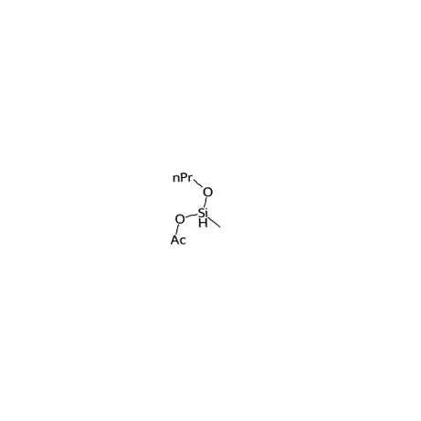 CCCO[SiH](C)OC(C)=O